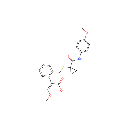 COC=C(C(=O)OC)c1ccccc1CSC1(C(=O)Nc2ccc(OC)cc2)CC1